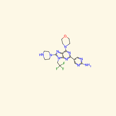 Nc1ncc(-c2nc(N3CCOCC3)c3nc(N4CCNCC4)n(CC(F)(F)F)c3n2)cn1